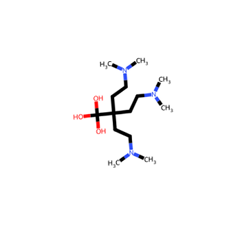 CN(C)CCC(CCN(C)C)(CCN(C)C)C(O)(O)O